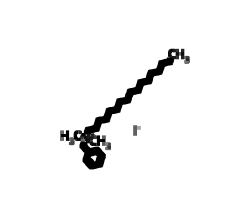 CCCCCCCCCCCCCCCCC[N+](C)(C)Cc1ccccc1.[I-]